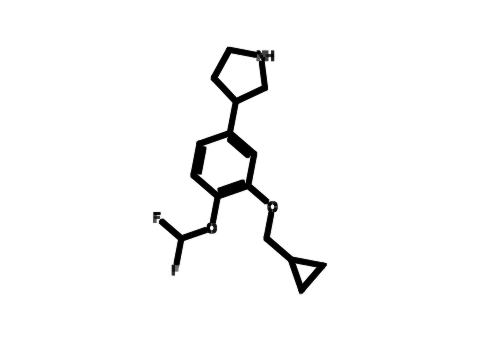 FC(F)Oc1ccc(C2CCNC2)cc1OCC1CC1